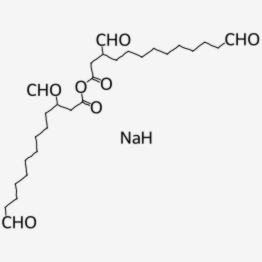 O=CCCCCCCCCCC(C=O)CC(=O)OC(=O)CC(C=O)CCCCCCCCCC=O.[NaH]